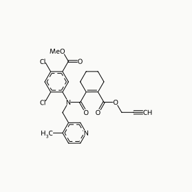 C#CCOC(=O)C1=C(C(=O)N(Cc2cnccc2C)c2cc(C(=O)OC)c(Cl)cc2Cl)CCCC1